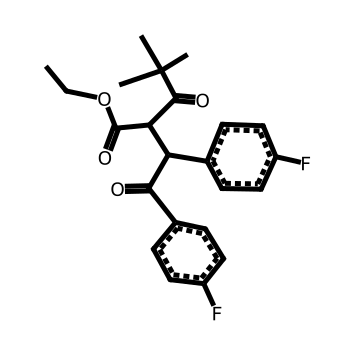 CCOC(=O)C(C(=O)C(C)(C)C)C(C(=O)c1ccc(F)cc1)c1ccc(F)cc1